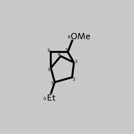 CCC1CC2CC1CC2OC